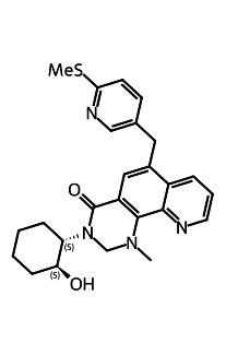 CSc1ccc(Cc2cc3c(c4ncccc24)N(C)CN([C@H]2CCCC[C@@H]2O)C3=O)cn1